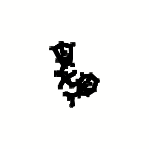 CN(C)C12CC3CC(CC1(CC(C)(C)NC14CC5CC(CC1C5)C4)C3)C2